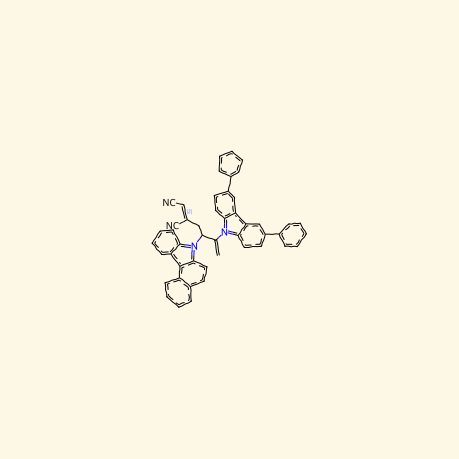 C=C(C(C/C(C#N)=C/C#N)n1c2ccccc2c2c3ccccc3ccc21)n1c2ccc(-c3ccccc3)cc2c2cc(-c3ccccc3)ccc21